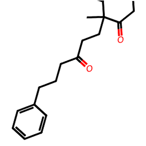 CC1(CCC(=O)CCCc2ccccc2)C(=O)CCCC1=O